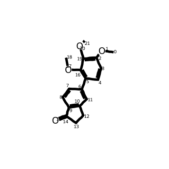 COc1ccc(-c2ccc3c(c2)CCC3=O)c(OC)c1OC